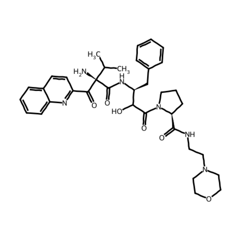 CC(C)[C@](N)(C(=O)N[C@@H](Cc1ccccc1)C(O)C(=O)N1CCC[C@H]1C(=O)NCCN1CCOCC1)C(=O)c1ccc2ccccc2n1